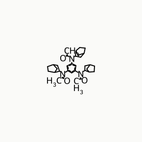 CC(=O)N(c1cc(N(C(C)=O)C2CC3CCC2C3)cc(N(C(C)=O)C2CC3CCC2C3)c1)C1CC2CCC1C2